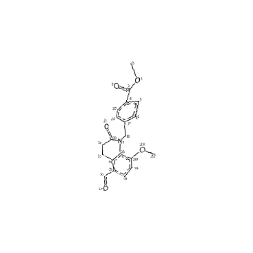 COC(=O)c1ccc(CN2C(=O)CCc3c(C=O)ccc(OC)c32)cc1